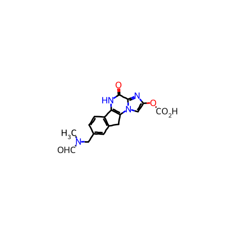 CN(C=O)Cc1ccc2c(c1)Cc1c-2[nH]c(=O)c2nc(OC(=O)O)cn12